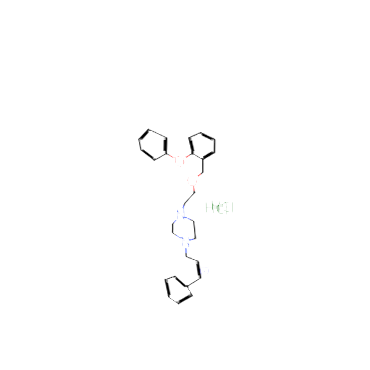 C(=C/c1ccccc1)/CN1CCN(CCOCc2ccccc2Oc2ccccc2)CC1.Cl.Cl